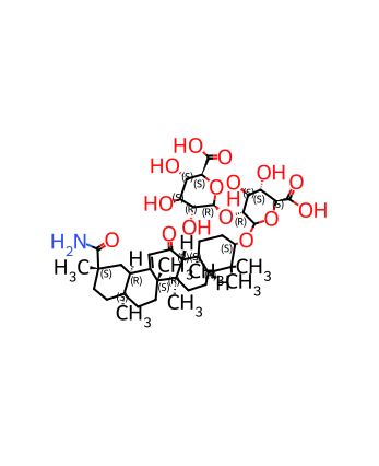 CC1(C)[C@@H](OC2O[C@H](C(=O)O)[C@@H](O)[C@H](O)[C@H]2O[C@@H]2O[C@H](C(=O)O)[C@@H](O)[C@H](O)[C@H]2O)CC[C@]2(C)[C@H]3C(=O)C=C4[C@@H]5C[C@@](C)(C(N)=O)CC[C@]5(C)CC[C@@]4(C)[C@]3(C)CC[C@@H]12